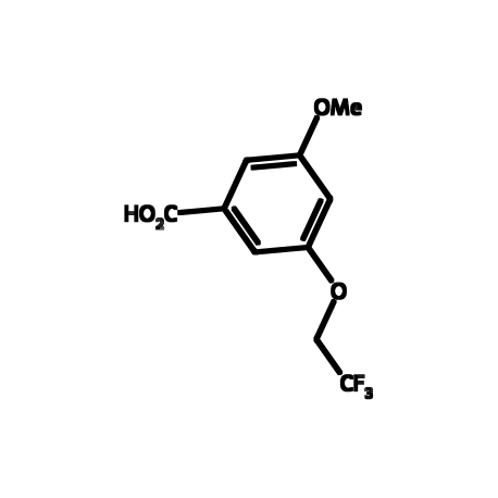 COc1cc(OCC(F)(F)F)cc(C(=O)O)c1